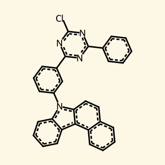 Clc1nc(-c2ccccc2)nc(-c2cccc(-n3c4ccccc4c4c5ccccc5ccc43)c2)n1